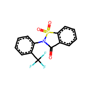 O=C1c2ccccc2S(=O)(=O)N1c1ccccc1C(F)(F)F